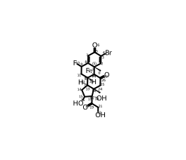 C[C@]12C=C(Br)C(=O)C=C1C(F)C[C@H]1[C@@H]3CC(O)[C@](O)(C(=O)CO)[C@@]3(C)CC(=O)[C@@]12F